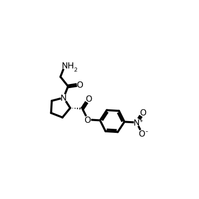 NCC(=O)N1CCC[C@H]1C(=O)Oc1ccc([N+](=O)[O-])cc1